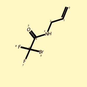 C=CCNC(=O)C(F)(F)Br